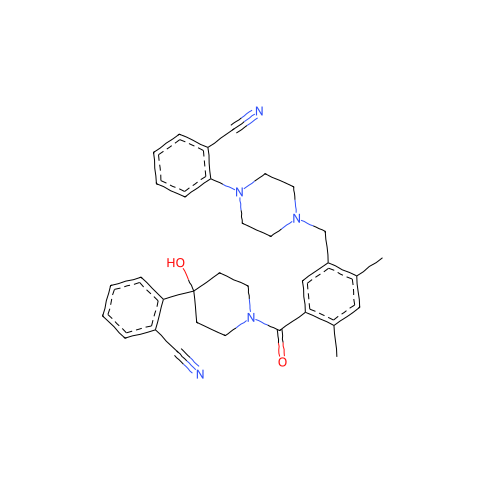 Cc1cc(C)c(C(=O)N2CCC(O)(c3ccccc3C#N)CC2)cc1CN1CCN(c2ccccc2C#N)CC1